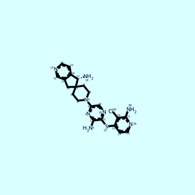 Nc1nc(N2CCC3(CC2)Cc2cnccc2[C@@H]3N)cnc1Sc1ccnc(N)c1Cl